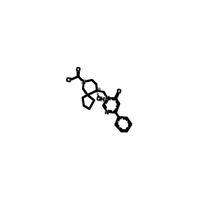 O=C(Cl)N1CC[C@@](O)(Cn2cnc(-c3ccccc3)cc2=O)C2(CCCC2)C1